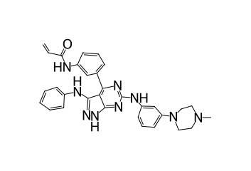 C=CC(=O)Nc1cccc(-c2nc(Nc3cccc(N4CCN(C)CC4)c3)nc3[nH]nc(Nc4ccccc4)c23)c1